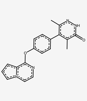 Cc1n[nH]c(=O)c(C)c1-c1ccc(Oc2nccn3cccc23)cc1